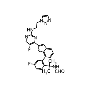 CC(C)(NC=O)c1ccc(F)cc1-c1cccc2cc(-c3nc(NCCn4ccnn4)ncc3F)sc12